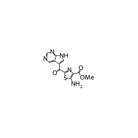 COC(=O)c1nc(C(=O)c2c[nH]c3ncncc23)sc1N